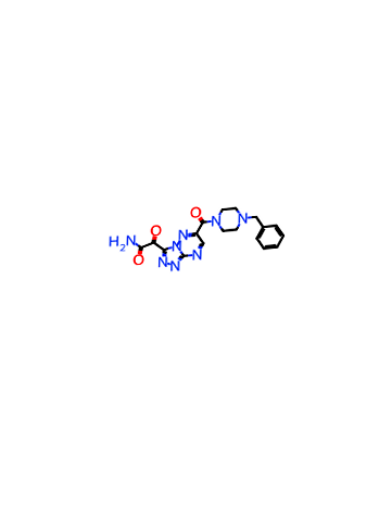 NC(=O)C(=O)c1nnc2ncc(C(=O)N3CCN(Cc4ccccc4)CC3)nn12